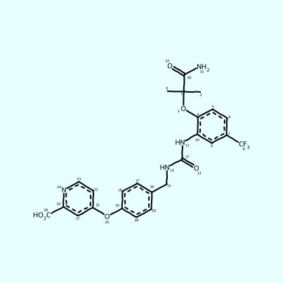 CC(C)(Oc1ccc(C(F)(F)F)cc1NC(=O)NCc1ccc(Oc2ccnc(C(=O)O)c2)cc1)C(N)=O